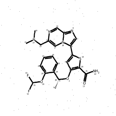 C[C@@H](Oc1cc(-c2cnc3cnc(CN(C)C)cn23)sc1C(N)=O)c1ccccc1OC(F)F